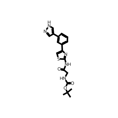 CC(C)(C)OC(=O)NCC(=O)Nc1nc(-c2cccc(-c3cn[nH]c3)c2)cs1